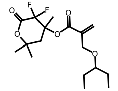 C=C(COC(CC)CC)C(=O)OC1(C)CC(C)(C)OC(=O)C1(F)F